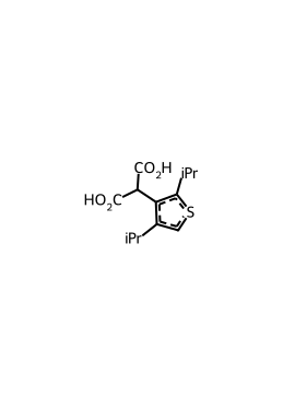 CC(C)c1csc(C(C)C)c1C(C(=O)O)C(=O)O